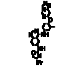 Cc1cc(Nc2ncnc3ccc(NC4=N[C@H](C(C)C)CO4)cc23)ccc1Oc1cc2nncn2cn1